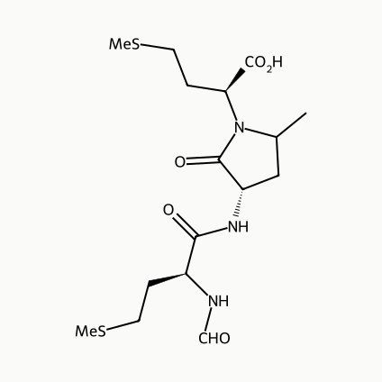 CSCC[C@H](NC=O)C(=O)N[C@H]1CC(C)N([C@@H](CCSC)C(=O)O)C1=O